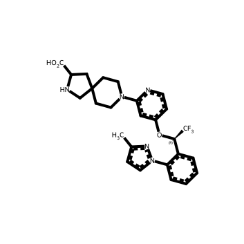 Cc1ccn(-c2ccccc2[C@@H](Oc2ccnc(N3CCC4(CC3)CNC(C(=O)O)C4)c2)C(F)(F)F)n1